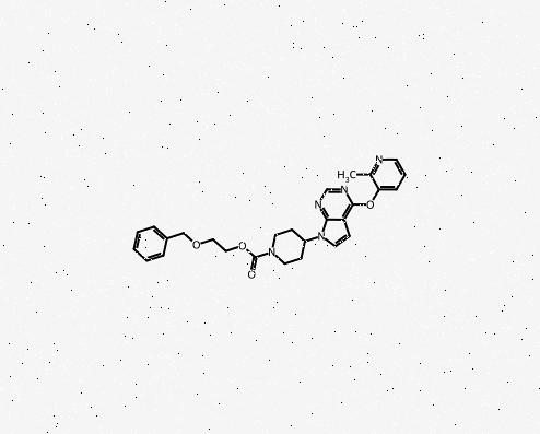 Cc1ncccc1Oc1ncnc2c1ccn2C1CCN(C(=O)OCCOCc2ccccc2)CC1